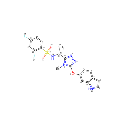 CCn1c(Oc2ccc3cc[nH]c3c2)nnc1[C@@H](C)NS(=O)(=O)c1ccc(F)cc1F